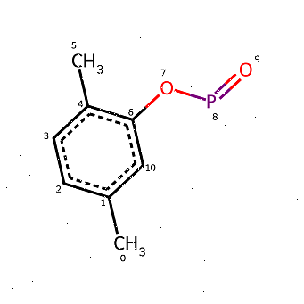 Cc1ccc(C)c(OP=O)c1